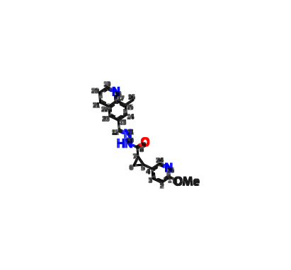 COc1ccc(C2CC2C(=O)N/N=C/c2cc(C)c3ncccc3c2)cn1